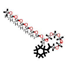 CC(=C(C)[Si](C)(C)O[Si](C)(C)O[Si](C)(C)O[Si](C)(C)O[Si](C)(C)O[SiH](C)O[SiH2]O[SiH2]O[SiH2]O[SiH2]O[SiH2]O[SiH2]O[Si](C)(C)C)C1(C)C(C)(C)C(C)(C)C(C)(C)C(C)(C)C1(C)C